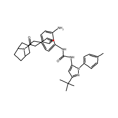 Cc1ccc(-n2nc(C(C)(C)C)cc2NC(=O)Nc2ccc(CC3CC4CCC(C3)N4C(=O)Cc3ccc(N)cc3)cc2)cc1